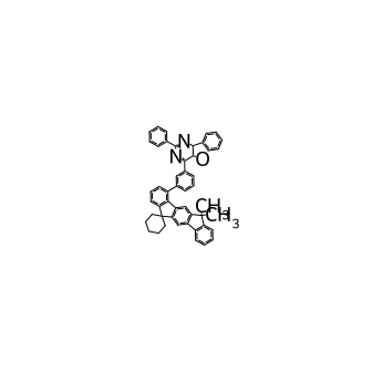 CC1(C)c2ccccc2-c2cc3c(cc21)-c1c(-c2cccc(C4=NC(c5ccccc5)=NC5c6ccccc6OC45)c2)cccc1C31CCCCC1